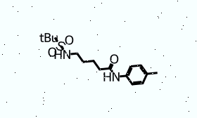 Cc1ccc(NC(=O)CCCCNS(=O)(=O)C(C)(C)C)cc1